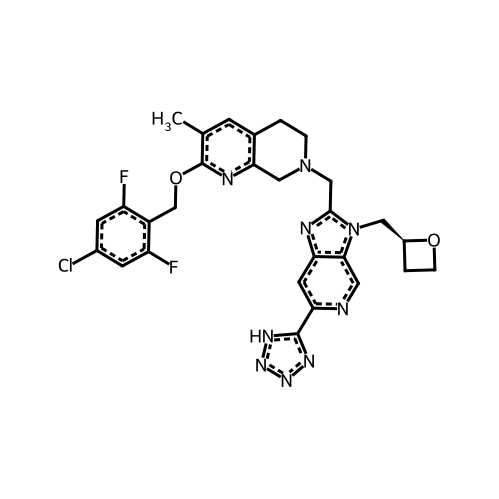 Cc1cc2c(nc1OCc1c(F)cc(Cl)cc1F)CN(Cc1nc3cc(-c4nnn[nH]4)ncc3n1C[C@@H]1CCO1)CC2